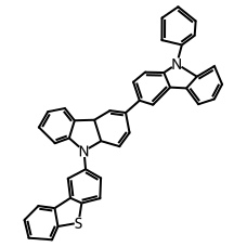 C1=CC2C(C=C1c1ccc3c(c1)c1ccccc1n3-c1ccccc1)c1ccccc1N2c1ccc2sc3ccccc3c2c1